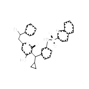 CCC(Cc1cc(O)c(C(c2cccc(NS(=O)(=O)c3ccc4ccccc4n3)c2)C2CC2)c(=O)o1)c1ccccc1